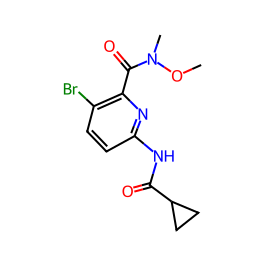 CON(C)C(=O)c1nc(NC(=O)C2CC2)ccc1Br